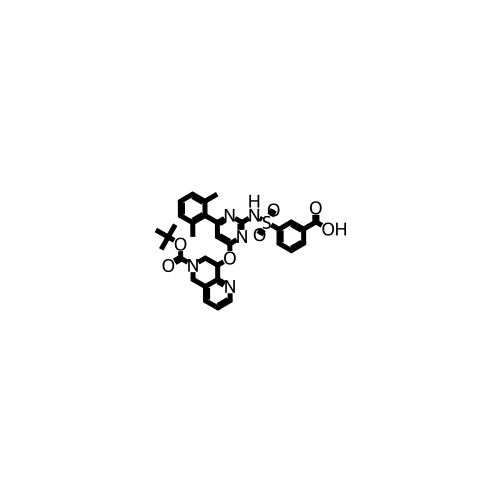 Cc1cccc(C)c1-c1cc(OC2CN(C(=O)OC(C)(C)C)Cc3cccnc32)nc(NS(=O)(=O)c2cccc(C(=O)O)c2)n1